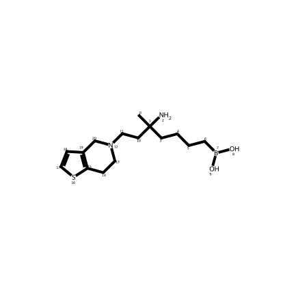 CC(N)(CCCCB(O)O)CCN1CCc2sccc2C1